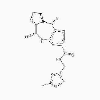 Cc1ccc(CNC(=O)c2ccc3c(c2)NC(=O)c2cccn2[S+]3[O-])s1